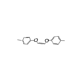 Cc1ccc(O/C=C\Oc2ccc(C)cc2)cc1